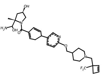 C[C@@]1(C(N)O)C[C@@H](O)CN1C(=O)C1=CCC(c2ccc(OCC3CCN(CC4(C(F)(F)F)C=CC4)CC3)nc2)C=C1